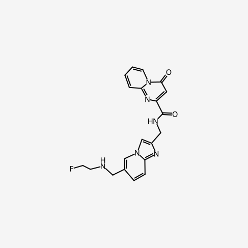 O=C(NCc1cn2cc(CNCCF)ccc2n1)c1cc(=O)n2ccccc2n1